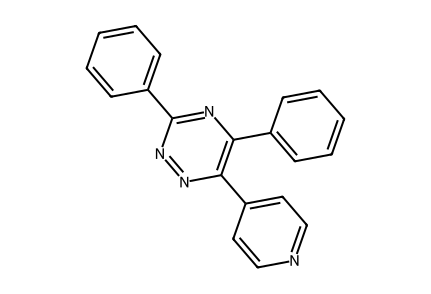 c1ccc(-c2nnc(-c3ccncc3)c(-c3ccccc3)n2)cc1